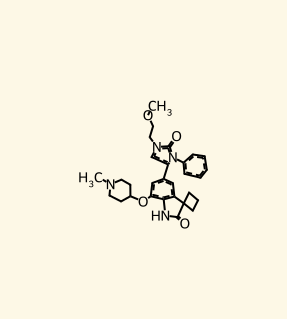 COCCn1cc(-c2cc(OC3CCN(C)CC3)c3c(c2)C2(CCC2)C(=O)N3)n(-c2ccccc2)c1=O